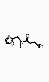 CC(C)CCC(=O)NCc1ncco1